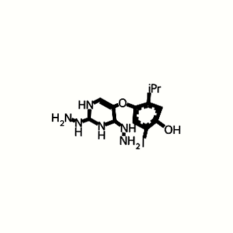 CC(C)c1cc(O)c(I)cc1OC1=CNC(NN)NC1NN